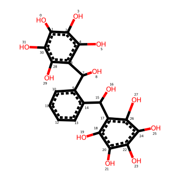 Oc1c(O)c(O)c(C(O)c2ccccc2C(O)c2c(O)c(O)c(O)c(O)c2O)c(O)c1O